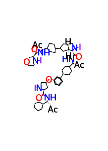 CC(=O)C[C@@H](NC(=O)[C@@H]1C[C@H](Oc2cccc(C3CCC([C@H](NC(=O)[C@@H]4[C@H]5CC(C6CCC([C@H](NC(=O)[C@@H]7COCCN7I)C(C)=O)CC6)C[C@H]5CN4I)C(C)=O)CC3)c2)CN1I)C1CCCCC1